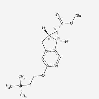 CC(C)(C)OC(=O)[C@H]1[C@H]2Cc3cc(OCC[Si](C)(C)C)ncc3[C@@H]21